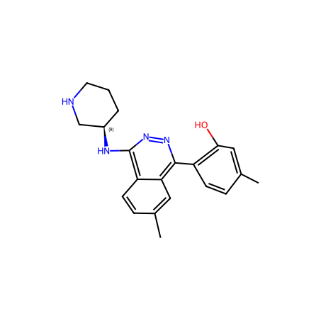 Cc1ccc(-c2nnc(N[C@@H]3CCCNC3)c3ccc(C)cc23)c(O)c1